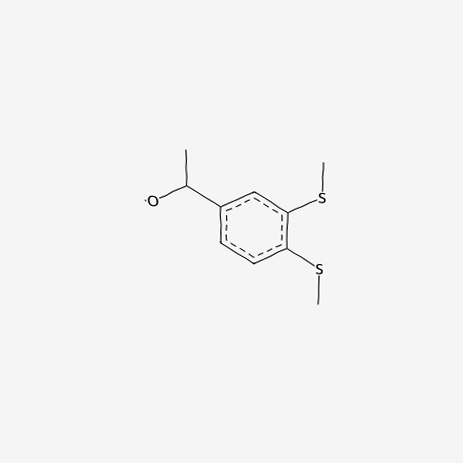 CSc1ccc(C(C)[O])cc1SC